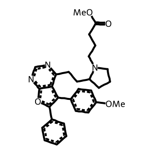 COC(=O)CCCN1CCCC1CCc1ncnc2oc(-c3ccccc3)c(-c3ccc(OC)cc3)c12